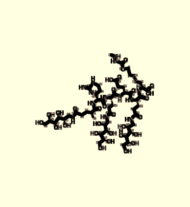 CNNC(=O)OCCSSC[C@H](NC(=O)[C@H](CCC(=O)NC[C@H](O)[C@@H](O)[C@H](O)[C@H](O)CO)NC(=O)[C@H](CCC(=O)O)NC(=O)[C@H](CCC(=O)NC[C@H](O)[C@@H](O)[C@H](O)[C@H](O)CO)NC(=O)[C@H](CCCNC(=N)N)NC(=O)[C@@H](C)CCC(=O)NC[C@H](O)[C@@H](O)[C@H](O)[C@H](O)CO)C(=O)O